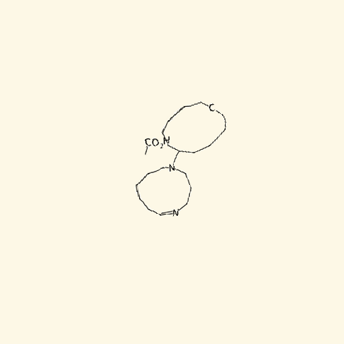 C1=NCCCN(C2CCCCCCCCCC2)CCCCC1.CC(=O)O